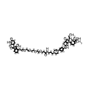 C=CCn1c(=O)c2cnc(Nc3ccc(N4CCN(CCCNC(=O)CCOCCOCCOCCOCCNc5cccc6c5C(=O)N(C5CCC(=O)NC5=O)C6=O)CC4)cc3)nc2n1-c1cccc(C(C)(C)O)n1